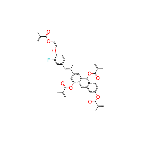 C=C(C)C(=O)O/C=C\Oc1ccc(/C=C(\C)c2cc(OC(=O)C(=C)C)c3cc4cc(OC(=O)C(=C)C)ccc4c(OC(=O)C(=C)C)c3c2)cc1F